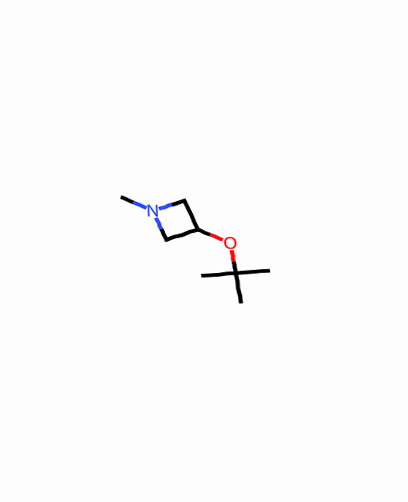 CN1CC(OC(C)(C)C)C1